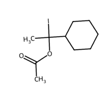 CC(=O)OC(C)(I)C1CCCCC1